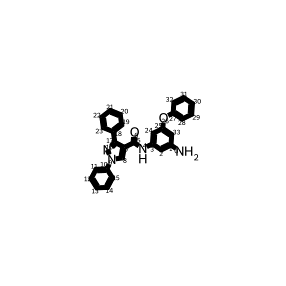 Nc1cc(NC(=O)c2cn(-c3ccccc3)nc2-c2ccccc2)cc(Oc2ccccc2)c1